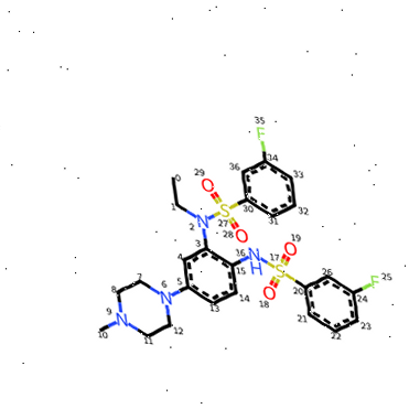 CCN(c1cc(N2CCN(C)CC2)ccc1NS(=O)(=O)c1cccc(F)c1)S(=O)(=O)c1cccc(F)c1